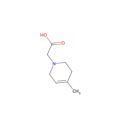 CC1=CCN(CC(=O)O)CC1